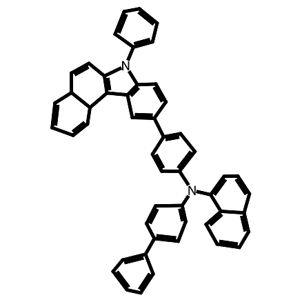 C1=CC2C=Cc3c(c4cc(-c5ccc(N(c6ccc(-c7ccccc7)cc6)c6cccc7ccccc67)cc5)ccc4n3-c3ccccc3)C2C=C1